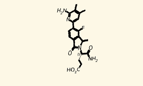 Cc1cc(-c2ccc3c(c2F)C(C)N([C@@H](CCC(=O)O)C(N)=O)C3=O)nc(N)c1C